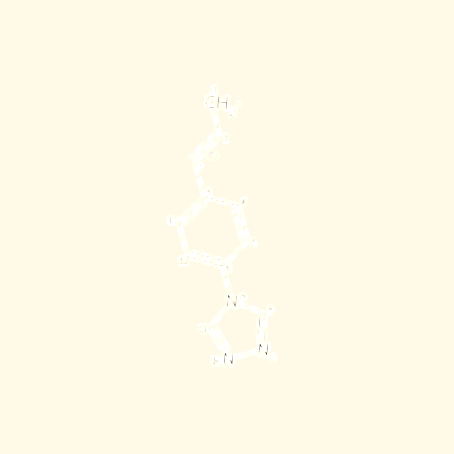 [CH2]/C=C/c1ccc(-n2cnnc2)cc1